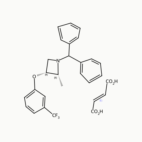 C[C@@H]1[C@H](Oc2cccc(C(F)(F)F)c2)CN1C(c1ccccc1)c1ccccc1.O=C(O)/C=C/C(=O)O